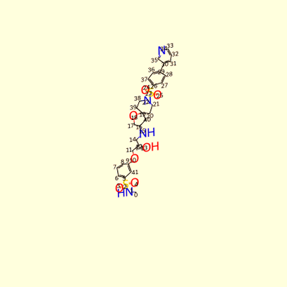 CNS(=O)(=O)c1cccc(OC[C@@H](O)CNC2COC3(CCN(S(=O)(=O)c4ccc(-c5cccnc5)cc4)CC3)C2)c1